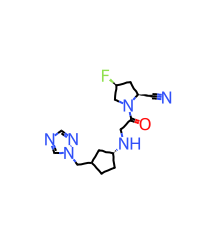 N#C[C@@H]1C[C@H](F)CN1C(=O)CN[C@@H]1CCC(Cn2cncn2)C1